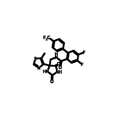 Cc1scnc1C1(CNC(=O)c2cc(F)c(F)cc2-c2ccc(C(F)(F)F)cc2)NC(=O)NC1=O